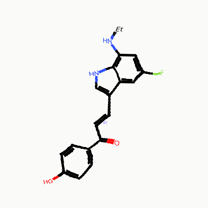 CCNc1cc(F)cc2c(/C=C/C(=O)c3ccc(O)cc3)c[nH]c12